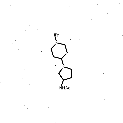 CC(=O)NC1CCN(C2CCN(C(C)C)CC2)C1